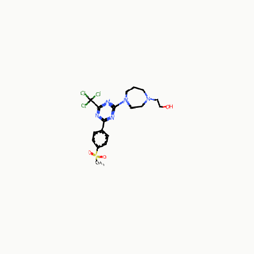 CS(=O)(=O)c1ccc(-c2nc(N3CCCN(CCO)CC3)nc(C(Cl)(Cl)Cl)n2)cc1